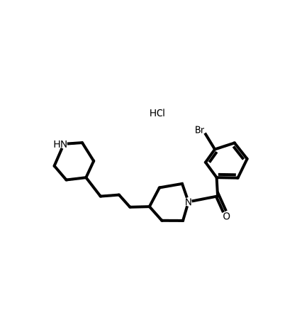 Cl.O=C(c1cccc(Br)c1)N1CCC(CCCC2CCNCC2)CC1